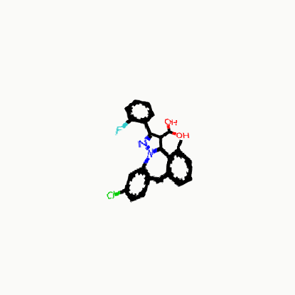 Cc1ccc(Cl)cc1N1N=C(c2ccccc2F)C(C(O)O)C1c1c(C)cccc1C